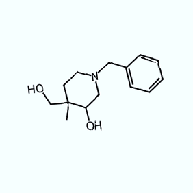 CC1(CO)CCN(Cc2ccccc2)CC1O